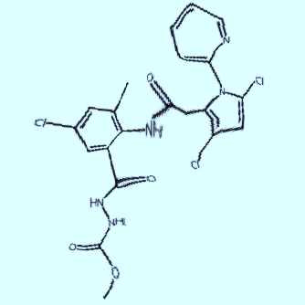 COC(=O)NNC(=O)c1cc(Cl)cc(C)c1NC(=O)c1c(Cl)cc(Cl)n1-c1ccccn1